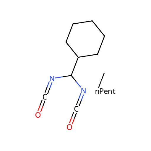 CCCCCC.O=C=NC(N=C=O)C1CCCCC1